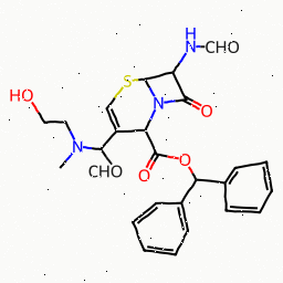 CN(CCO)C(C=O)C1=CSC2C(NC=O)C(=O)N2C1C(=O)OC(c1ccccc1)c1ccccc1